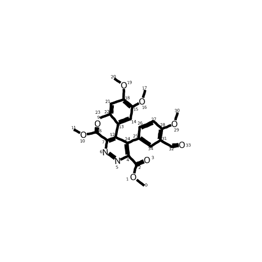 COC(=O)c1nnc(C(=O)OC)c(-c2cc(OC)c(OC)cc2C)c1-c1ccc(OC)c(C=O)c1